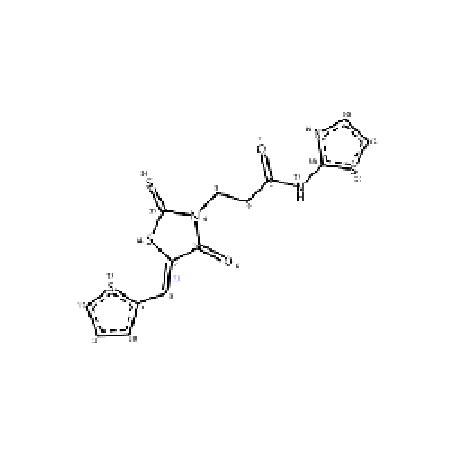 O=C(CCN1C(=O)/C(=C/c2cccs2)SC1=S)Nc1nccs1